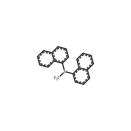 FC(F)(F)[S+](c1cccc2ccccc12)c1cccc2ccccc12